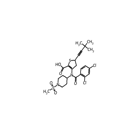 CC(C)(C)C#CC1CC(N(C(=O)c2ccc(Cl)cc2Cl)C2CCN(S(C)(=O)=O)CC2)=C(C(=O)O)S1